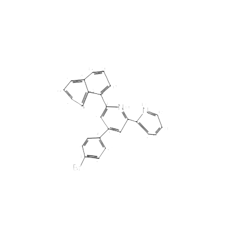 Brc1ccc(-c2cc(-c3ccccn3)nc(-c3cccc4ccccc34)c2)cc1